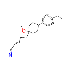 CCc1ccc(C2CCC(CCC=CC#N)(OC)CC2)cc1